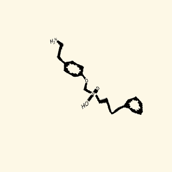 NCCc1ccc(OCP(=O)(O)CCCc2ccccc2)cc1